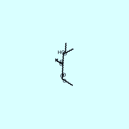 CCCCCCCCOC/C=C\COC(=O)CCCCCCCCC(CCCCCCCCC(O)OC(CCCCCCC)CCCCCCCC)OC(=O)CCCN(C)C